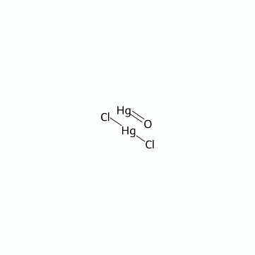 [Cl][Hg][Cl].[O]=[Hg]